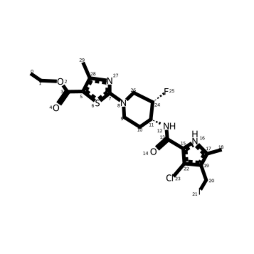 CCOC(=O)c1sc(N2CC[C@@H](NC(=O)c3[nH]c(C)c(CI)c3Cl)[C@@H](F)C2)nc1C